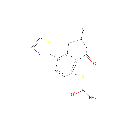 CC1CC(=O)c2c(SC(N)=O)ccc(-c3nccs3)c2C1